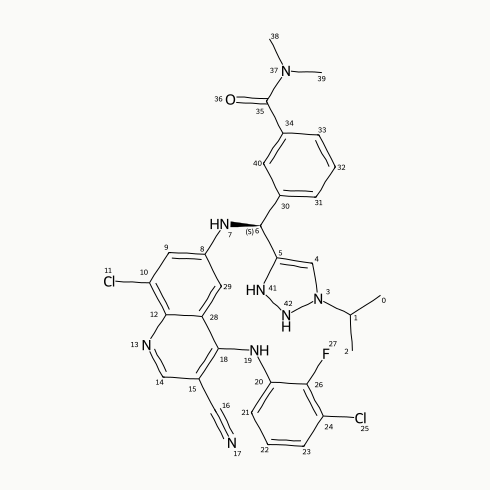 CC(C)N1C=C([C@@H](Nc2cc(Cl)c3ncc(C#N)c(Nc4cccc(Cl)c4F)c3c2)c2cccc(C(=O)N(C)C)c2)NN1